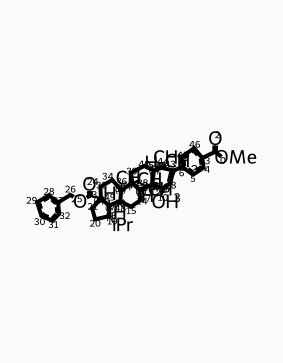 COC(=O)c1ccc(C2=CC(O)[C@]3(C)[C@H]4CC[C@@H]5[C@H]6[C@H](C(C)C)CC[C@]6(C(=O)OCc6ccccc6)CC[C@@]5(C)[C@]4(C)CC[C@H]3C2(C)C)cc1